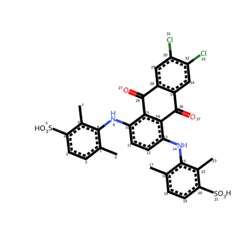 Cc1ccc(S(=O)(=O)O)c(C)c1Nc1ccc(Nc2c(C)ccc(S(=O)(=O)O)c2C)c2c1C(=O)c1cc(Cl)c(Cl)cc1C2=O